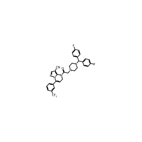 N#Cc1cnn2c1N(C(=O)CN1CCN(C(c3ccc(F)cc3)c3ccc(F)cc3)CC1)CC=C2c1cccc(C(F)(F)F)c1